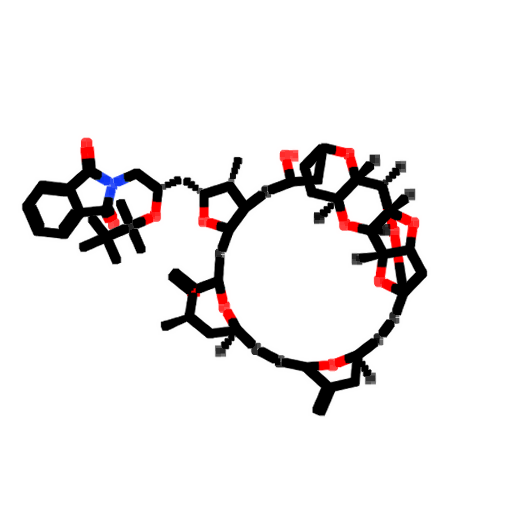 C=C1C[C@@H]2CCC34CC5O[C@H]6[C@@H](O3)[C@H]3OC(CC[C@@H]3O[C@H]6[C@H]5O4)CC(O)CC3C(C[C@H]4O[C@@H](CCC1O2)C[C@@H](C)C4=C)O[C@H](C[C@@H](CN1C(=O)c2ccccc2C1=O)O[Si](C)(C)C(C)(C)C)[C@@H]3C